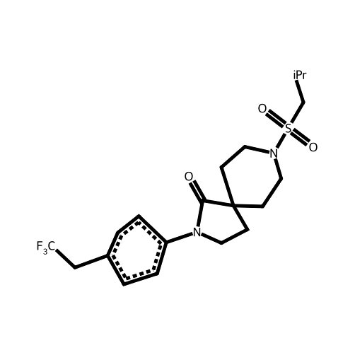 CC(C)CS(=O)(=O)N1CCC2(CCN(c3ccc(CC(F)(F)F)cc3)C2=O)CC1